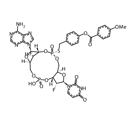 COc1ccc(C(=O)Oc2ccc(CS[P@]3(=O)OC[C@H]4O[C@@H](n5ccc(=O)[nH]c5=O)[C@H](F)[C@@H]4OP(=O)(O)OC[C@H]4O[C@@H](n5cnc6c(N)ncnc65)[C@H](O3)[C@@H]4F)cc2)cc1